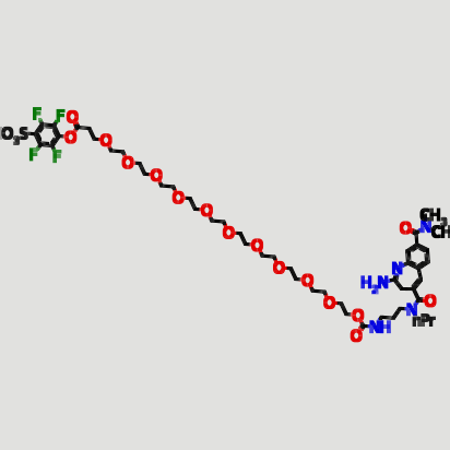 CCCN(CCCNC(=O)OCCOCCOCCOCCOCCOCCOCCOCCOCCOCCOCCC(=O)Oc1c(F)c(F)c(S(=O)(=O)O)c(F)c1F)C(=O)C1=Cc2ccc(C(=O)N(C)C)cc2N=C(N)C1